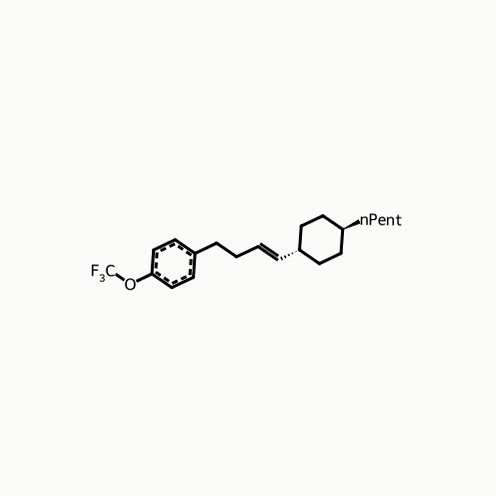 CCCCC[C@H]1CC[C@H](/C=C/CCc2ccc(OC(F)(F)F)cc2)CC1